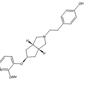 COc1ncccc1O[C@H]1C[C@@H]2CN(CCc3ccc(O)cc3)C[C@@H]2C1